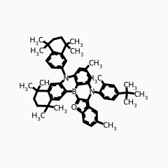 Cc1cc2c3c(c1)N(c1ccc(C(C)(C)C)cc1C)c1c(oc4ccc(C)cc14)B3c1cc3c(cc1N2c1ccc2c(c1)C(C)(C)CCC2(C)C)C(C)(C)CCC3(C)C